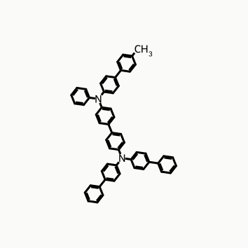 Cc1ccc(-c2ccc(N(c3ccccc3)c3ccc(-c4ccc(N(c5ccc(-c6ccccc6)cc5)c5ccc(-c6ccccc6)cc5)cc4)cc3)cc2)cc1